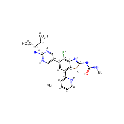 CCNC(=O)Nc1nc2c(F)c(-c3cnc(N[C@@H](CC(=O)O)C(=O)O)nc3)cc(-c3ccccn3)c2s1.[Li]